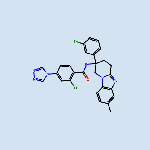 Cc1ccc2c(c1)nc1n2CC(NC(=O)c2ccc(-n3cnnc3)cc2Cl)(c2cccc(F)c2)CC1